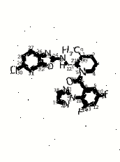 C[C@@H]1CCCN(C(=O)c2cc(F)cc(F)c2-n2nccn2)[C@@H]1CNc1nc2ccc(Cl)cc2o1